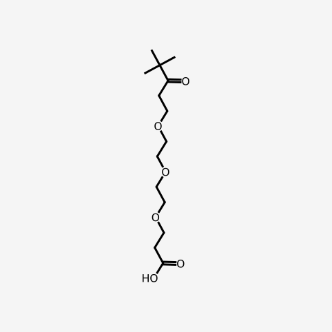 CC(C)(C)C(=O)CCOCCOCCOCCC(=O)O